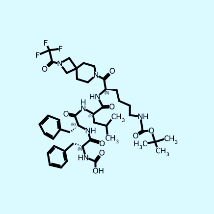 CC(C)C[C@@H](NC(=O)[C@@H](Cc1ccccc1)NC(=O)[C@@H](Cc1ccccc1)NC(=O)O)C(=O)N[C@H](CCCCNC(=O)OC(C)(C)C)C(=O)N1CCC2(CC1)CN(C(=O)C(F)(F)F)C2